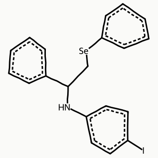 Ic1ccc(NC(C[Se]c2ccccc2)c2ccccc2)cc1